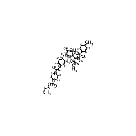 CCCOC(=O)N1CCN(C(=O)Oc2ccc(C[C@H](NC(=O)[C@H]3N(S(=O)(=O)c4ccc(C)cc4)CSC3(C)C)C(=O)O)cc2)CC1